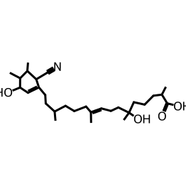 C/C(=C\CCC(C)(O)CCCC(C)C(=O)O)CCCC(C)CCC1=CC(O)C(C)C(C)C1C#N